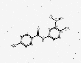 Cc1ccc(C(=O)Nc2ccc(C)c([N+](=O)[O-])c2)cc1